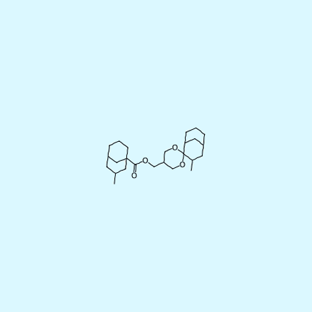 CC1CC2CCCC(C(=O)OCC3COC4(OC3)C(C)CC3CCCC4C3)(C1)C2